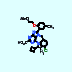 COCCOc1ccc(C)cc1-c1nc2nc(C(=O)O)nc(N[C@H](C)C3CCC3)c2n1Cc1ccc(Cl)cc1